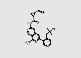 CC(C)(O)Cc1ccncc1-c1cc2cc(NC(=O)[C@@H]3C[C@H]3C=N)ncc2c(N)n1